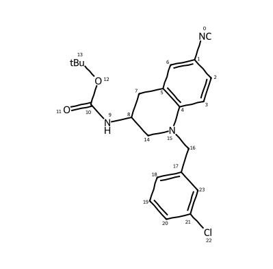 [C-]#[N+]c1ccc2c(c1)CC(NC(=O)OC(C)(C)C)CN2Cc1cccc(Cl)c1